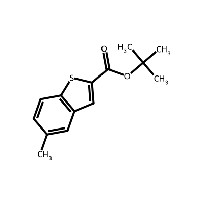 Cc1ccc2sc(C(=O)OC(C)(C)C)cc2c1